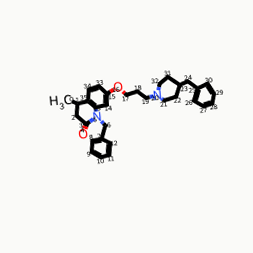 CC1CC(=O)N(Cc2ccccc2)c2cc(OCCCN3CCC(Cc4ccccc4)CC3)ccc21